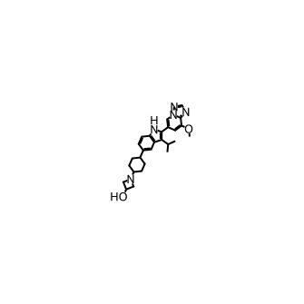 COc1cc(-c2[nH]c3ccc(C4CCC(N5CC(O)C5)CC4)cc3c2C(C)C)cn2ncnc12